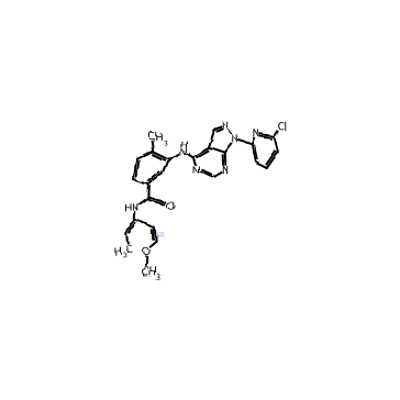 CC=C(/C=C\OC)NC(=O)c1ccc(C)c(Nc2ncnc3c2cnn3-c2cccc(Cl)n2)c1